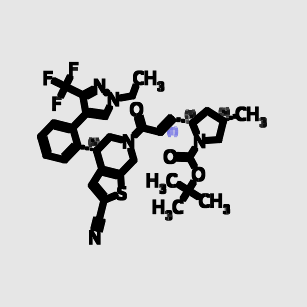 CCn1cc(-c2ccccc2[C@@H]2CN(C(=O)/C=C/[C@@H]3C[C@H](C)CN3C(=O)OC(C)(C)C)Cc3sc(C#N)cc32)c(C(F)(F)F)n1